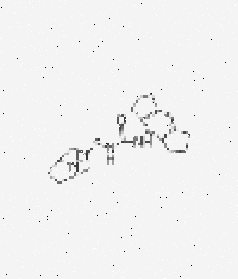 CCN1C2CCC1CC(SNC(=O)Nc1c3c(cc4c1CCC4)CCC3)C2